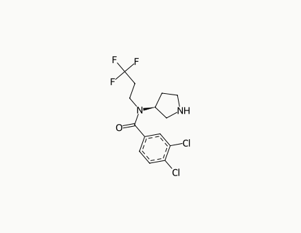 O=C(c1ccc(Cl)c(Cl)c1)N(CCC(F)(F)F)[C@H]1CCNC1